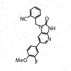 COc1ccc(-c2cnc3[nH]c(=O)n(Cc4ccccc4C#N)c3c2)cc1F